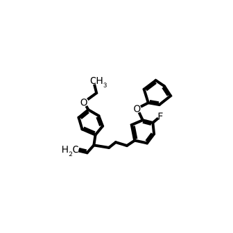 C=CC(CCCc1ccc(F)c(Oc2ccccc2)c1)c1ccc(OCC)cc1